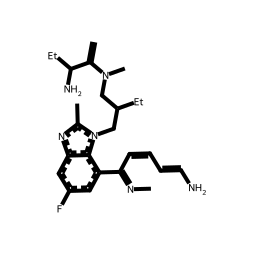 C=C(C(N)CC)N(C)CC(CC)Cn1c(C)nc2cc(F)cc(C(/C=C\C=C\N)=N/C)c21